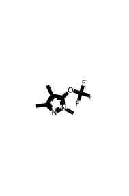 Cc1nn(C)c(OC(F)(F)F)c1C